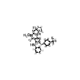 CN1C(=S)c2c(nn(Cc3ccc(C(F)(F)F)cc3)c2Nc2ccccc2)N2C1=N[C@@H]1CCC[C@@H]12